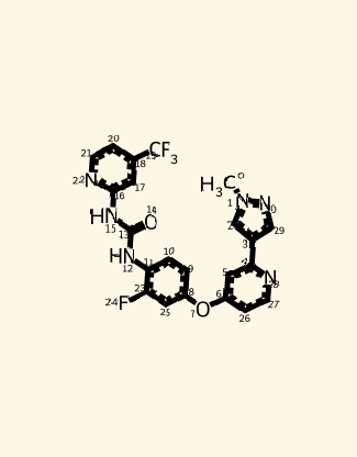 Cn1cc(-c2cc(Oc3ccc(NC(=O)Nc4cc(C(F)(F)F)ccn4)c(F)c3)ccn2)cn1